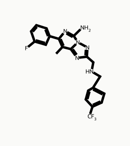 Cc1c(-c2cccc(F)c2)nc(N)n2nc(CNCc3ccc(C(F)(F)F)cc3)nc12